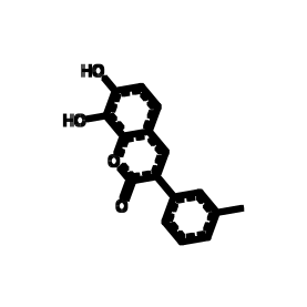 Cc1cccc(-c2cc3ccc(O)c(O)c3oc2=O)c1